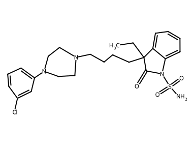 CCC1(CCCCN2CCN(c3cccc(Cl)c3)CC2)C(=O)N(S(N)(=O)=O)c2ccccc21